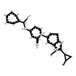 CC1CC1c1nc2ccc(-n3ccc(OC(F)c4ccccc4)cc3=O)cc2n1C